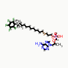 C[C@H](Cn1cnc2c(N)ncnc21)OCP(=O)(O)OCCCSCCCCCCCCCCC[Si](C)(C)c1c(F)c(F)c(F)c(F)c1F